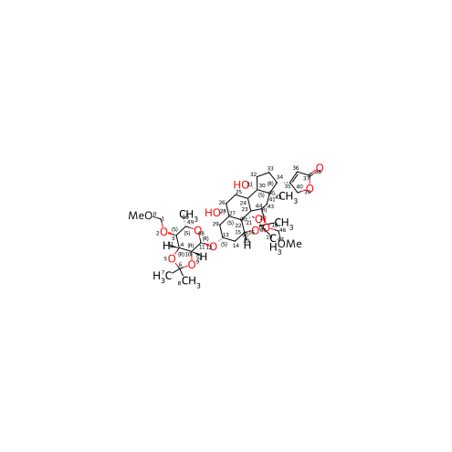 COCO[C@@H]1[C@H]2OC(C)(C)O[C@H]2[C@H](O[C@H]2C[C@H]3OC(C)(C)OC[C@]34C3C(CC[C@]4(O)C2)[C@@]2(O)CC[C@H](C4=CC(=O)OC4)[C@@]2(C)C[C@H]3OCOC)O[C@H]1C